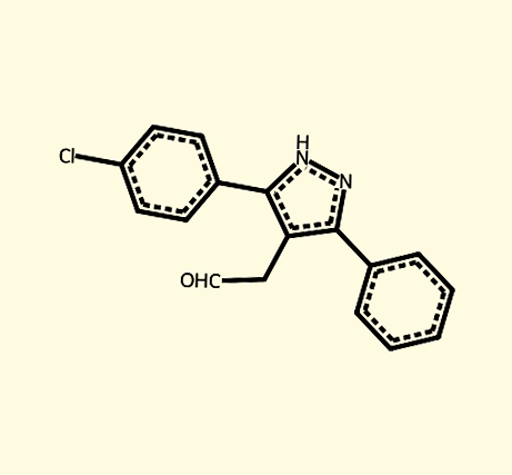 O=CCc1c(-c2ccccc2)n[nH]c1-c1ccc(Cl)cc1